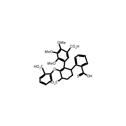 COc1c(C(=O)O)cc(C2=C(Oc3ccccc3C(=O)O)C(C(=O)O)CCC2c2ccccc2C(O)=S)c(OC)c1OC